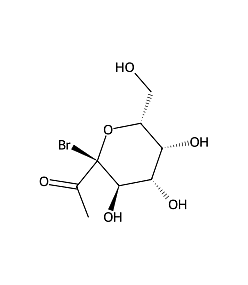 CC(=O)[C@]1(Br)O[C@H](CO)[C@H](O)[C@H](O)[C@H]1O